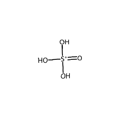 O=[S+](O)(O)O